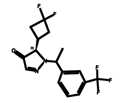 CC(c1cccc(C(F)(F)F)c1)N1N=CC(=O)[C@H]1C1CC(F)(F)C1